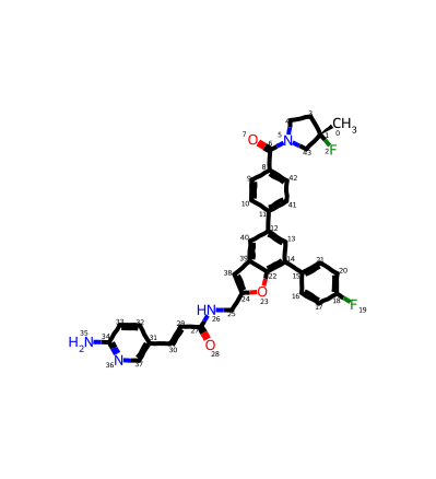 C[C@]1(F)CCN(C(=O)c2ccc(-c3cc(-c4ccc(F)cc4)c4oc(CNC(=O)/C=C/c5ccc(N)nc5)cc4c3)cc2)C1